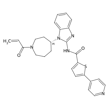 C=CC(=O)N1CCC[C@@H](n2c(NC(=O)c3ccc(-c4ccncc4)s3)nc3ccccc32)CC1